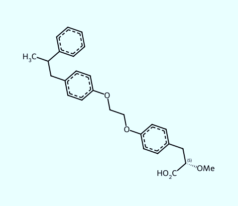 CO[C@@H](Cc1ccc(OCCOc2ccc(CC(C)c3ccccc3)cc2)cc1)C(=O)O